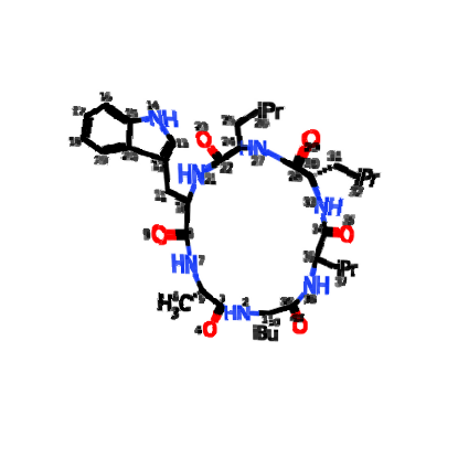 CCC(C)[C@@H]1NC(=O)[C@H](C)NC(=O)C(Cc2c[nH]c3ccccc23)NC(=O)C(CC(C)C)NC(=O)[C@H](CC(C)C)NC(=O)C(C(C)C)NC1=O